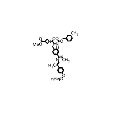 C=N/C(=N\C=C(/C)c1ccc(OCCCCCCC)cc1)c1ccc(C[C@H](NC(=O)OCC2=CC=CC(C)C2)C(=O)N2CC(C(=O)OC)C2)cc1